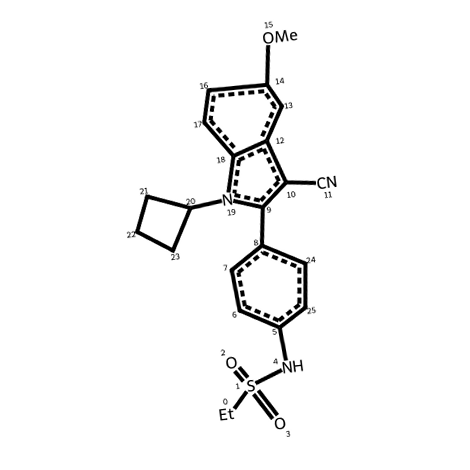 CCS(=O)(=O)Nc1ccc(-c2c(C#N)c3cc(OC)ccc3n2C2CCC2)cc1